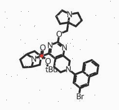 CC(C)(C)OC(=O)N1C2CCC1CN(c1nc(OCC34CCCN3CCC4)nc3c1CCN(c1cc(Br)cc4ccccc14)C3)C2